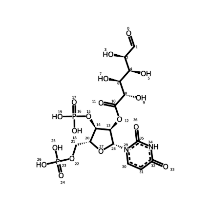 O=C[C@H](O)[C@@H](O)[C@H](O)[C@H](O)C(=O)O[C@@H]1[C@H](OP(=O)(O)O)[C@@H](COP(=O)(O)O)O[C@H]1n1ccc(=O)[nH]c1=O